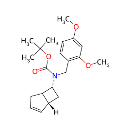 COc1ccc(CN(C(=O)OC(C)(C)C)[C@@H]2C[C@@H]3C=CCC23)c(OC)c1